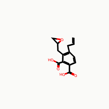 C=CCc1ccc(C(=O)O)c(C(=O)O)c1CC1CO1